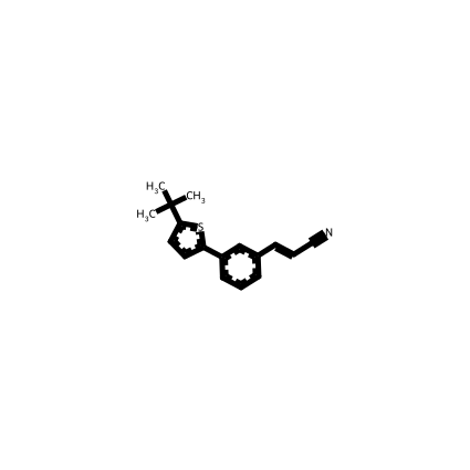 CC(C)(C)c1ccc(-c2cccc(/C=C/C#N)c2)s1